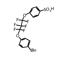 CCC(C)c1ccc(OC(F)(F)C(F)(F)C(F)(F)Oc2ccc(S(=O)(=O)O)cc2)cc1